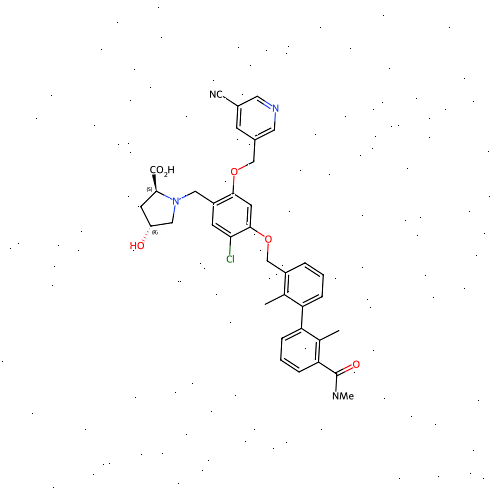 CNC(=O)c1cccc(-c2cccc(COc3cc(OCc4cncc(C#N)c4)c(CN4C[C@H](O)C[C@H]4C(=O)O)cc3Cl)c2C)c1C